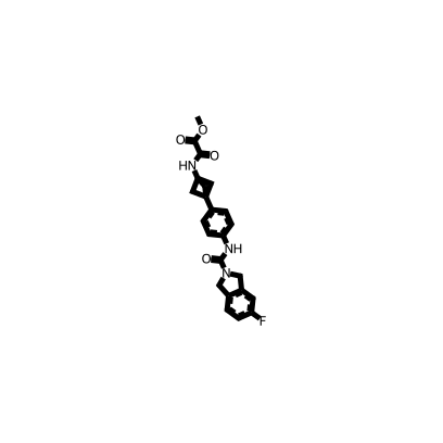 COC(=O)C(=O)NC12CC(c3ccc(NC(=O)N4Cc5ccc(F)cc5C4)cc3)(C1)C2